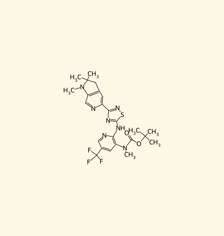 CN(C(=O)OC(C)(C)C)c1cc(C(F)(F)F)cnc1Nc1nc(-c2cc3c(cn2)N(C)C(C)(C)C3)ns1